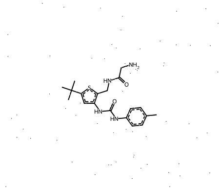 Cc1ccc(NC(=O)Nc2cc(C(C)(C)C)sc2CNC(=O)CN)cc1